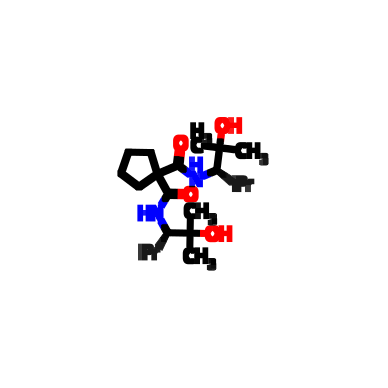 CC(C)[C@@H](NC(=O)C1(C(=O)N[C@H](C(C)C)C(C)(C)O)CCCC1)C(C)(C)O